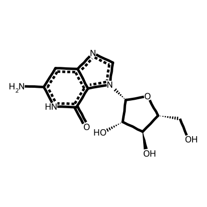 Nc1cc2ncn([C@@H]3O[C@H](CO)[C@@H](O)[C@@H]3O)c2c(=O)[nH]1